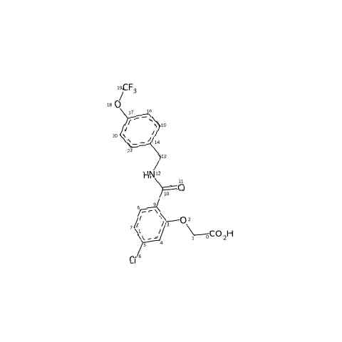 O=C(O)COc1cc(Cl)ccc1C(=O)NCc1ccc(OC(F)(F)F)cc1